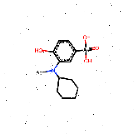 CC(=O)N(c1cc([As](=O)(O)O)ccc1O)C1CCCCC1